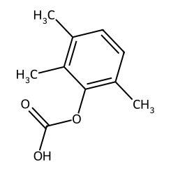 Cc1ccc(C)c(OC(=O)O)c1C